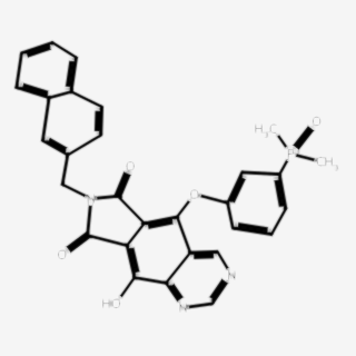 CP(C)(=O)c1cccc(Oc2c3c(c(O)c4ncncc24)C(=O)N(Cc2ccc4ccccc4c2)C3=O)c1